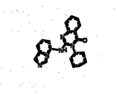 O=c1c2ccccc2nc(Nc2cccc3cncn23)n1-c1ccccc1